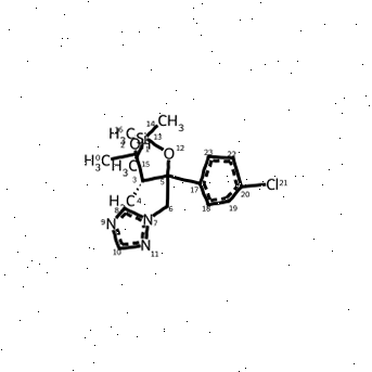 CC(O)[C@@H](C)C(Cn1cncn1)(O[Si](C)(C)C)c1ccc(Cl)cc1